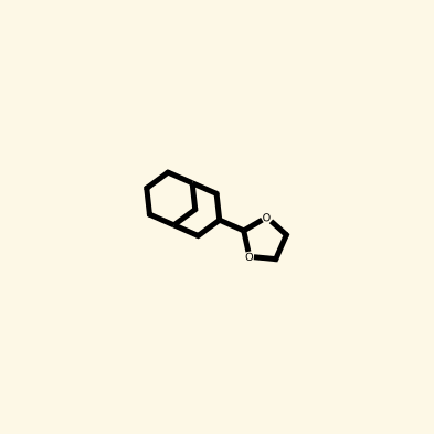 C1CC2CC(C1)CC(C1OCCO1)C2